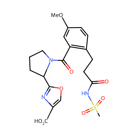 COc1ccc(CCC(=O)NS(C)(=O)=O)c(C(=O)N2CCCC2c2nc(C(=O)O)co2)c1